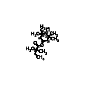 CCC(C)(C)C(=O)OC1CC(C)(C)N(Cl)C(C)(C)C1